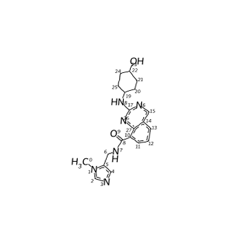 Cn1cncc1CNC(=O)c1cccc2cnc(NC3CCC(O)CC3)nc12